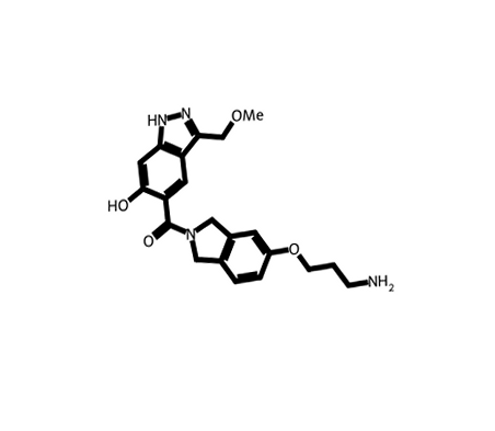 COCc1n[nH]c2cc(O)c(C(=O)N3Cc4ccc(OCCCN)cc4C3)cc12